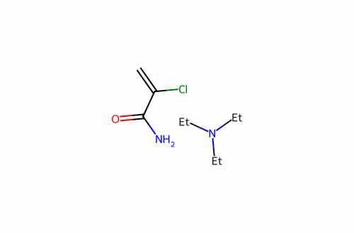 C=C(Cl)C(N)=O.CCN(CC)CC